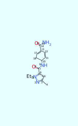 CCn1nc(C)cc1C(=O)NC1C=CC(C(N)=O)=CC1